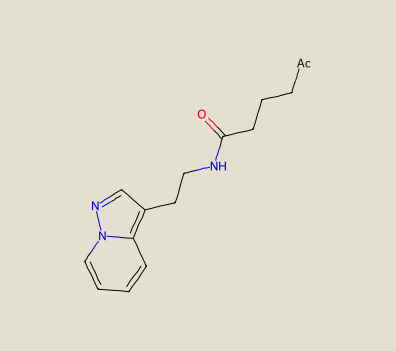 CC(=O)CCCC(=O)NCCc1cnn2ccccc12